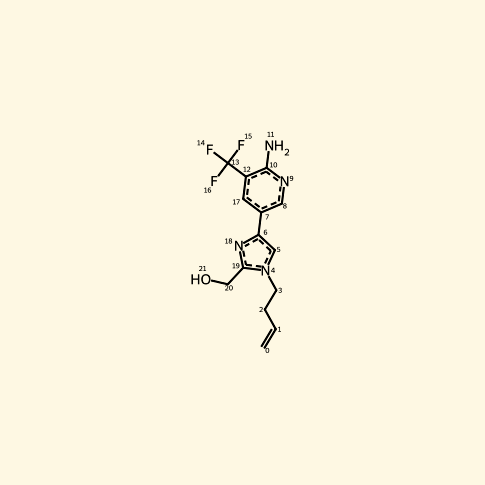 C=CCCn1cc(-c2cnc(N)c(C(F)(F)F)c2)nc1CO